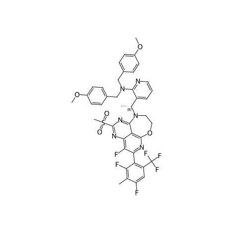 COc1ccc(CN(Cc2ccc(OC)cc2)c2ncccc2[C@@H](C)N2CCOc3nc(-c4c(C(F)(F)F)cc(F)c(C)c4F)c(F)c4nc(S(C)(=O)=O)nc2c34)cc1